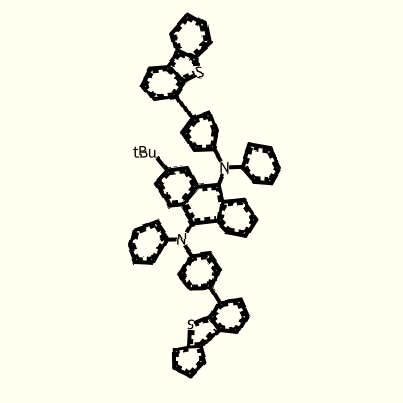 CC(C)(C)c1ccc2c(N(c3ccccc3)c3ccc(-c4cccc5c4sc4ccccc45)cc3)c3ccccc3c(N(c3ccccc3)c3ccc(-c4cccc5c4sc4ccccc45)cc3)c2c1